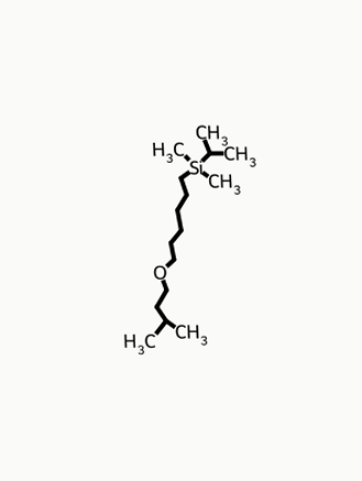 CC(C)CCOCCCCCC[Si](C)(C)C(C)C